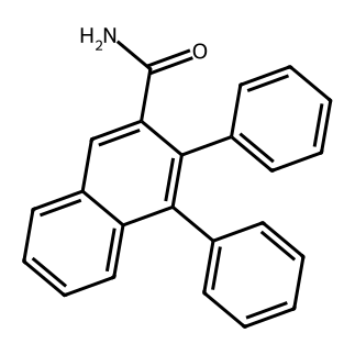 NC(=O)c1cc2ccccc2c(-c2ccccc2)c1-c1ccccc1